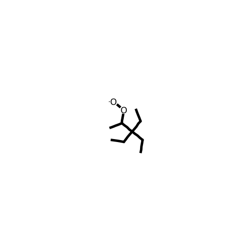 CCC(CC)(CC)C(C)O[O]